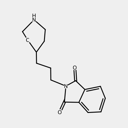 O=C1c2ccccc2C(=O)N1CCCC1CCNCC1